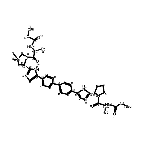 CC[C@H](NC(=O)OC(C)(C)C)C(=O)N1CCC[C@H]1c1ncc(-c2ccc(-c3ccc(-c4cnc([C@@H]5C[Si](C)(C)CN5C(=O)[C@H](CC)NC(=O)OC(C)(C)C)[nH]4)cc3)cc2)[nH]1